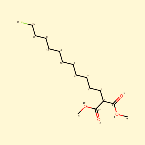 COC(=O)C(CCCCCCCCCCCF)C(=O)OC